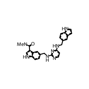 CNC(=O)c1c[nH]c2ccc(CNc3nccc(NCc4ccc5[nH]ccc5c4)n3)cc12